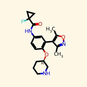 Cc1noc(C)c1-c1cc(NC(=O)C2(F)CC2)ccc1O[C@@H]1CCCNC1